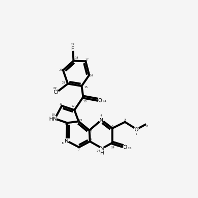 COCc1nc2c(cnc3[nH]cc(C(=O)c4ccc(F)cc4Cl)c32)[nH]c1=O